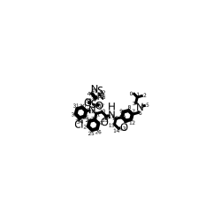 CC(C)CN(C)Cc1ccc2c(c1)OCCC2NC(=O)CC(c1ccccc1)N(c1cccc(Cl)c1)S(=O)(=O)c1cnsn1